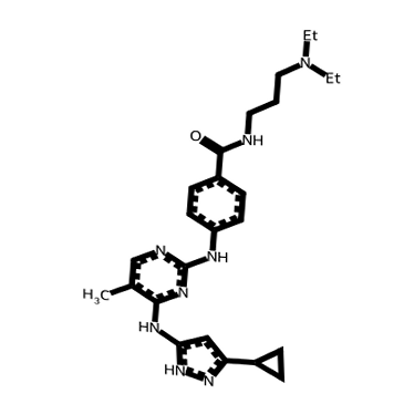 CCN(CC)CCCNC(=O)c1ccc(Nc2ncc(C)c(Nc3cc(C4CC4)n[nH]3)n2)cc1